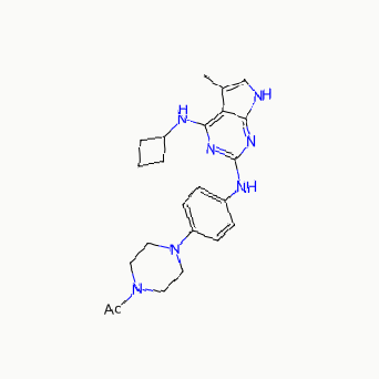 CC(=O)N1CCN(c2ccc(Nc3nc(NC4CCC4)c4c(C)c[nH]c4n3)cc2)CC1